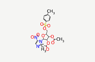 CC(=O)OC1C(COS(=O)(=O)c2ccc(C)cc2)OC(n2cncc2[N+](=O)[O-])C1OC(C)=O